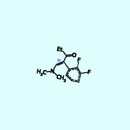 CCC(=O)/C(=C/N(C)C)c1cccc(F)c1F